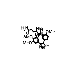 COc1ccc(-c2[nH]nnc2-c2cc(OC)c(OC)c(OC)c2)cc1NC(=O)C(N)CCC(N)=O